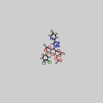 CC(=O)OC[C@H]1O[C@H](Sc2ccc(Cl)c(Cl)c2)[C@H](OC(C)=O)[C@@H](n2cc(-c3ccc(F)cn3)nn2)[C@H]1OC(C)=O